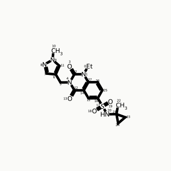 CCn1c(=O)n(Cc2cnn(C)c2)c(=O)c2cc(S(=O)(=O)NC3(C)CC3)ccc21